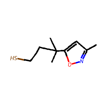 Cc1cc(C(C)(C)CCS)on1